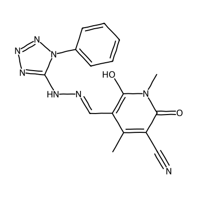 Cc1c(/C=N/Nc2nnnn2-c2ccccc2)c(O)n(C)c(=O)c1C#N